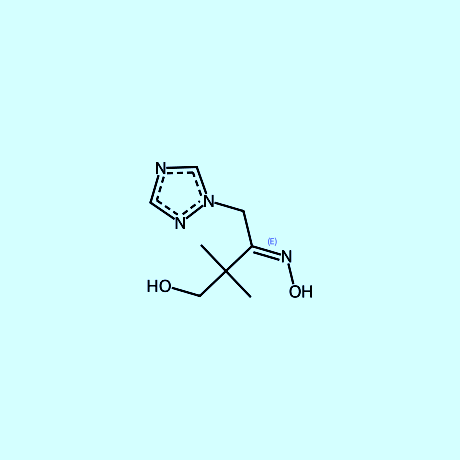 CC(C)(CO)/C(Cn1cncn1)=N\O